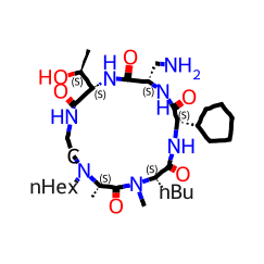 CCCCCCN1CCNC(=O)[C@H]([C@H](C)O)NC(=O)[C@H](CN)NC(=O)[C@H](C2CCCCC2)NC(=O)[C@H](CCCC)N(C)C(=O)[C@@H]1C